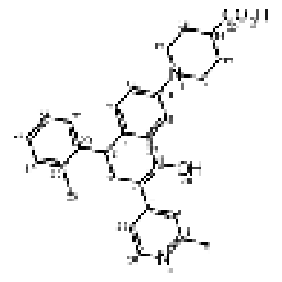 Cc1cc(C(CC(c2ccc(N3CCC(C(=O)O)CC3)cc2)c2ccccc2C)=NO)ccn1